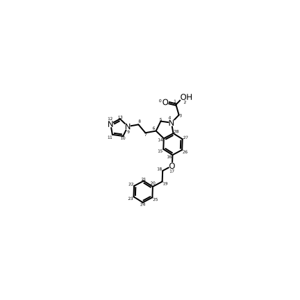 O=C(O)CN1CC(CCn2ccnc2)c2cc(OCCc3ccccc3)ccc21